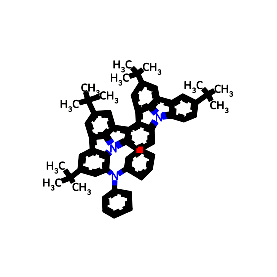 CC(C)(C)c1ccc2c(c1)c1cc(C(C)(C)C)cc3c4c5c6cc(C(C)(C)C)cc7c8cc(C(C)(C)C)cc(N(c9ccccc9)c9ccccc9)c8n(c5ccc4n2c13)c76